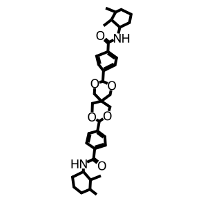 CC1CCCC(NC(=O)c2ccc(C3OCC4(CO3)COC(c3ccc(C(=O)NC5CCCC(C)C5C)cc3)OC4)cc2)C1C